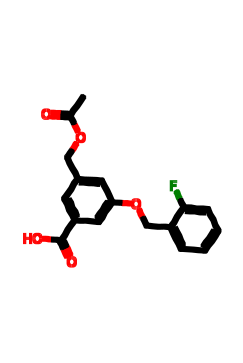 CC(=O)OCc1cc(OCc2ccccc2F)cc(C(=O)O)c1